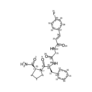 NC(=O)[C@@H]1CCCN1C(=O)[C@H](Cc1ccccc1)NC(=O)CNC(=O)C=Cc1ccc(F)cc1